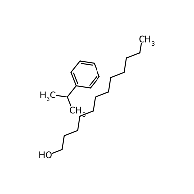 CC(C)c1ccccc1.CCCCCCCCCCCCO